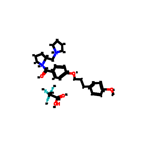 COc1ccc(CCCOc2ccc(C(=O)N3CCCC3CN3CCCC3)cc2)cc1.O=C(O)C(F)(F)F